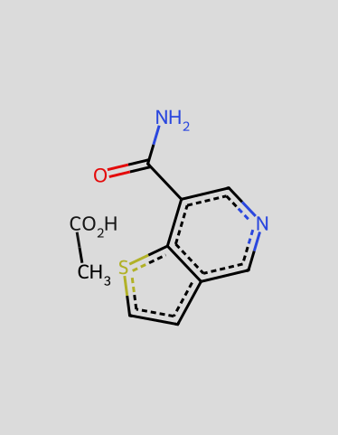 CC(=O)O.NC(=O)c1cncc2ccsc12